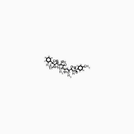 CCN[C@H](C(=O)N[C@H](C(=O)N(C)[C@H](/C=C(\C)C(=O)NS(=O)(=O)c1ccc(C)cc1)C(C)C)C(C)(C)C)C(C)(C)c1ccccc1